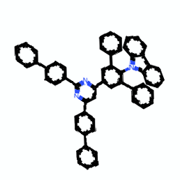 c1ccc(-c2ccc(-c3cc(-c4cc(-c5ccccc5)c(-n5c6ccccc6c6ccccc65)c(-c5ccccc5)c4)nc(-c4ccc(-c5ccccc5)cc4)n3)cc2)cc1